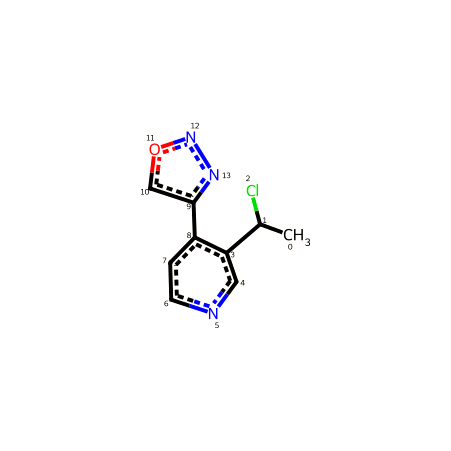 CC(Cl)c1cnccc1-c1conn1